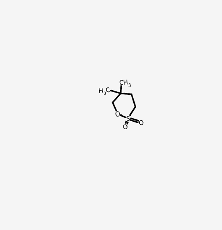 CC1(C)CCS(=O)(=O)OC1